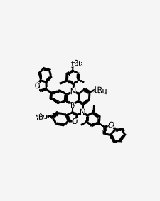 Cc1cc(C(C)(C)C)cc(C)c1N1c2cc(-c3coc4ccccc34)ccc2B2c3c1cc(C(C)(C)C)cc3N(c1c(C)cc(-c3cc4ccccc4o3)cc1C)c1oc3ccc(C(C)(C)C)cc3c12